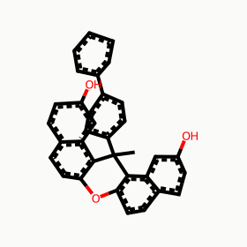 CC1(c2ccc(-c3ccccc3)cc2)c2c(ccc3ccc(O)cc23)Oc2ccc3ccc(O)cc3c21